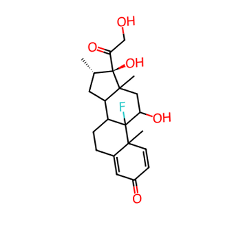 C[C@H]1CC2C3CCC4=CC(=O)C=CC4(C)C3(F)C(O)CC2(C)[C@@]1(O)C(=O)CO